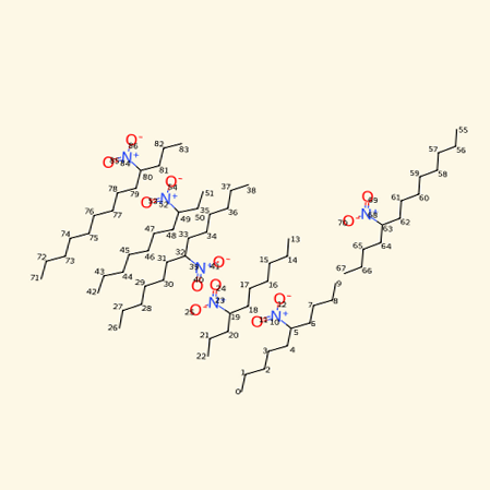 CCCCCC(CCCC)[N+](=O)[O-].CCCCCCC(CCC)[N+](=O)[O-].CCCCCCC(CCCCCC)[N+](=O)[O-].CCCCCCCC(CC)[N+](=O)[O-].CCCCCCCCC(CCCC)[N+](=O)[O-].CCCCCCCCCC(CCC)[N+](=O)[O-]